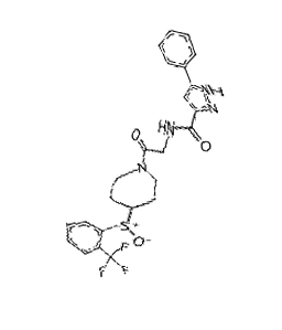 O=C(NCC(=O)N1CCC([S+]([O-])c2ccccc2C(F)(F)F)CC1)c1cc(-c2ccccc2)[nH]n1